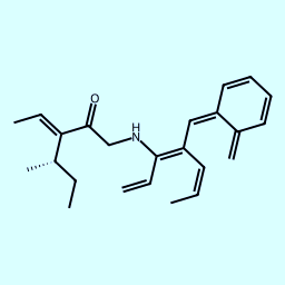 C=C/C(NCC(=O)/C(=C/C)[C@@H](C)CC)=C(\C=C/C)/C=c1/ccccc1=C